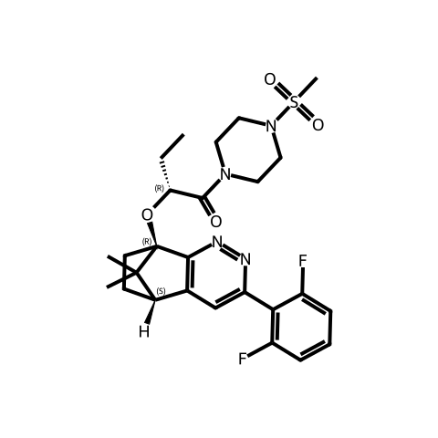 CC[C@@H](O[C@@]12CC[C@@H](c3cc(-c4c(F)cccc4F)nnc31)C2(C)C)C(=O)N1CCN(S(C)(=O)=O)CC1